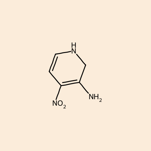 NC1=C([N+](=O)[O-])C=CNC1